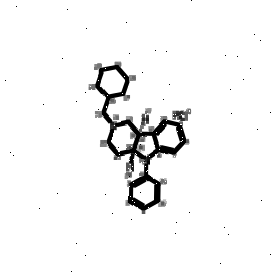 Cl.c1ccc(N2c3ccccc3[C@@H]3CN(CC4CCCCC4)CC[C@H]32)cc1